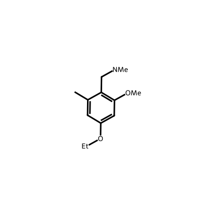 CCOc1cc(C)c(CNC)c(OC)c1